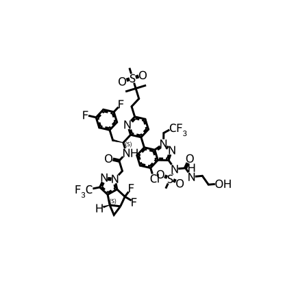 CC(C)(CCc1ccc(-c2ccc(Cl)c3c(N(C(=O)NCCO)S(C)(=O)=O)nn(CC(F)(F)F)c23)c([C@H](Cc2cc(F)cc(F)c2)NC(=O)Cn2nc(C(F)(F)F)c3c2C(F)(F)C2C[C@H]32)n1)S(C)(=O)=O